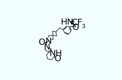 N=S(=O)(c1cccc(CC2CC3(C2)CN(C(=O)N2CC4(CCCC(=O)N4)C2)C3)c1)C(F)(F)F